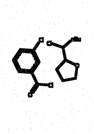 CCCCC(Cl)C1CCCO1.O=C(Cl)c1cccc(Cl)c1